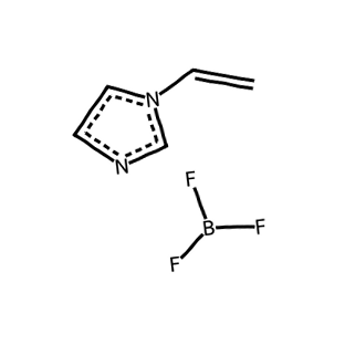 C=Cn1ccnc1.FB(F)F